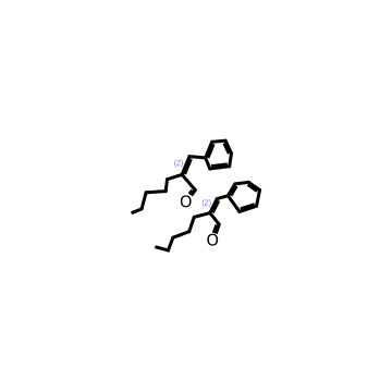 CCCCC/C(C=O)=C/c1ccccc1.CCCCC/C(C=O)=C/c1ccccc1